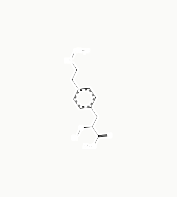 CCCCCCCNCCc1ccc(CC(OCC)C(=O)OC)cc1